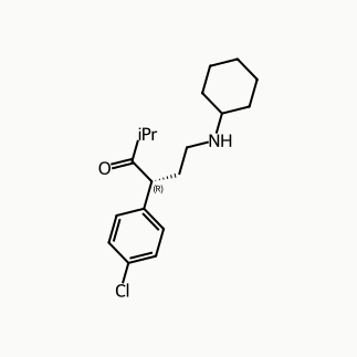 CC(C)C(=O)[C@H](CCNC1CCCCC1)c1ccc(Cl)cc1